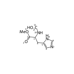 COC(=O)C(Cc1cnc[nH]1)NC(=O)O